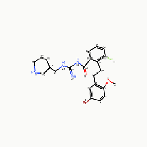 COc1ccc(Br)cc1CCc1c(F)cccc1C(=O)NC(=N)NCC1CCCNC1